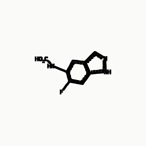 O=C(O)Nc1cc2cn[nH]c2cc1F